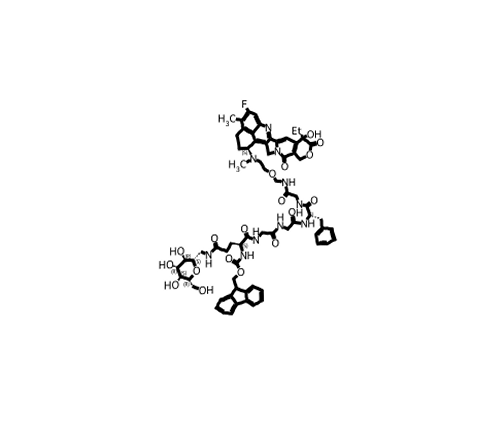 CC[C@@]1(O)C(=O)OCc2c1cc1n(c2=O)Cc2c-1nc1cc(F)c(C)c3c1c2[C@@H](N(C)CCOCNC(=O)CNC(=O)[C@H](Cc1ccccc1)NC(=O)CNC(=O)CNC(=O)[C@H](CCC(=O)NC[C@@H]1O[C@H](CO)[C@@H](O)[C@H](O)[C@H]1O)NC(=O)OCC1c2ccccc2-c2ccccc21)CC3